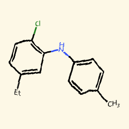 CCc1ccc(Cl)c(Nc2ccc(C)cc2)c1